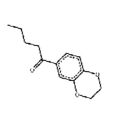 CCCCC(=O)c1ccc2c(c1)OCCO2